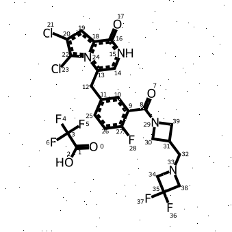 O=C(O)C(F)(F)F.O=C(c1cc(Cc2c[nH]c(=O)c3cc(Cl)c(Cl)n23)ccc1F)N1CC(CN2CC(F)(F)C2)C1